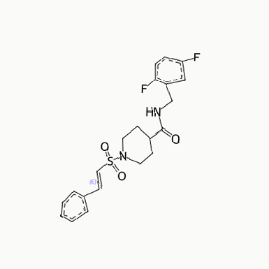 O=C(NCc1cc(F)ccc1F)C1CCN(S(=O)(=O)/C=C/c2ccccc2)CC1